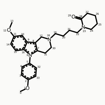 COc1ccc(-n2c3c(c4cc(OC)ccc42)CN(CCCCN2CCCCC2=O)CC3)cc1